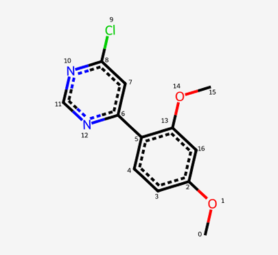 COc1ccc(-c2cc(Cl)ncn2)c(OC)c1